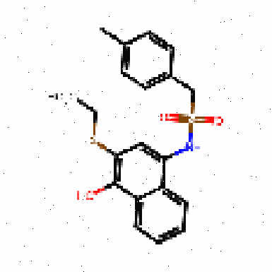 Cc1ccc(CS(=O)(=O)Nc2cc(SCC(=O)O)c(O)c3ccccc23)cc1